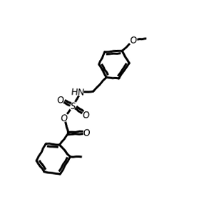 COc1ccc(CNS(=O)(=O)OC(=O)c2ccccc2C)cc1